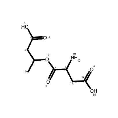 CC(CC(=O)O)OC(=O)C(N)CC(=O)O